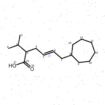 CC(C)C(C/C=C/CC1CCCCCC1)C(=O)O